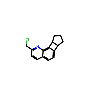 ClCc1ccc2ccc3c(c2n1)C1CCCC31